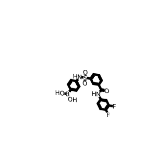 O=C(Nc1ccc(F)c(F)c1)c1cccc(S(=O)(=O)Nc2ccc(B(O)O)cc2)c1